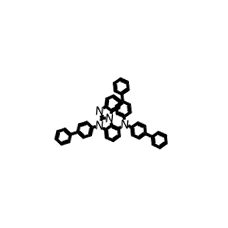 c1ccc(-c2ccc(N(c3ccc(-c4ccccc4)cc3)c3cccc4c3n3c5ccccc5nc3n4-c3ccc(-c4ccccc4)cc3)cc2)cc1